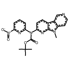 Cn1c2ccncc2c2ccc(N(C(=O)OC(C)(C)C)c3cccc([N+](=O)[O-])n3)nc21